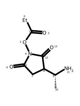 CCC(=O)ON1C(=O)CC([C@@H](C)N)C1=O